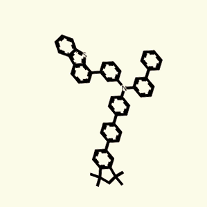 CC1(C)CC(C)(C)c2cc(-c3ccc(-c4ccc(N(c5cccc(-c6ccccc6)c5)c5cccc(-c6cccc7c6sc6ccccc67)c5)cc4)cc3)ccc21